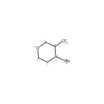 CC(C)(C)N1CCOCC1C(F)(F)F